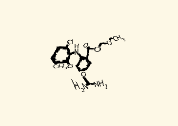 CCOCOC(=O)c1ccccc1Nc1c(Cl)ccc(C)c1Cl.NC(N)=O